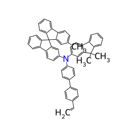 C=Cc1ccc(-c2ccc(N(c3ccc4c(c3)C(C)(C)c3ccccc3-4)c3ccc4c(c3)C3(c5ccccc5-c5ccc(C)cc53)c3ccccc3-4)cc2)cc1